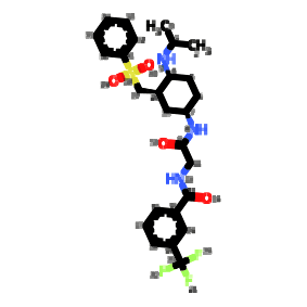 CC(C)N[C@H]1CC[C@@H](NC(=O)CNC(=O)c2cccc(C(F)(F)F)c2)C[C@H]1CS(=O)(=O)c1ccccc1